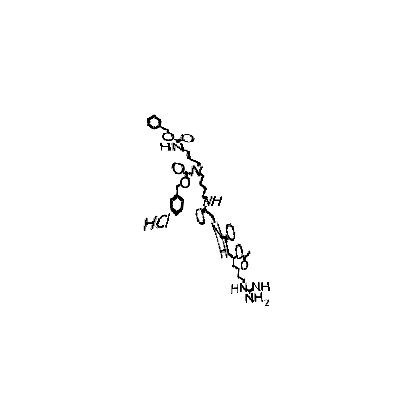 CC(=O)O[C@@H](CCCCNC(=N)N)CC(=O)NCC(=O)NCCCCN(CCCNC(=O)OCc1ccccc1)C(=O)OCc1ccccc1.Cl